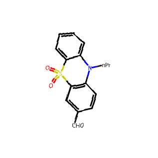 CCCN1c2ccccc2S(=O)(=O)c2cc(C=O)ccc21